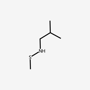 CSNCC(C)C